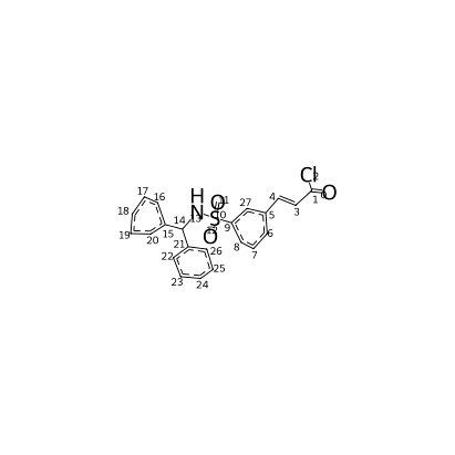 O=C(Cl)/C=C/c1cccc(S(=O)(=O)NC(c2ccccc2)c2ccccc2)c1